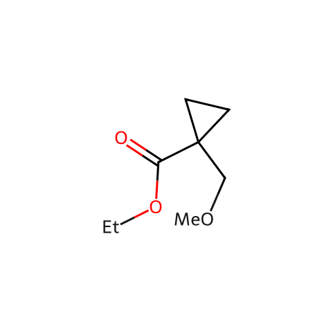 CCOC(=O)C1(COC)CC1